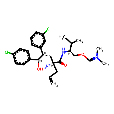 C=CC[C@@](N)(C[C@@H](c1cccc(Cl)c1)[C@@H](O)c1ccc(Cl)cc1)C(=O)N[C@H](COC=[N+](C)C)C(C)C